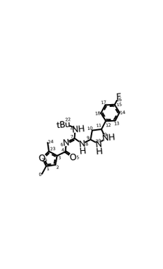 Cc1cc(C(=O)/N=C(\NC2CC(c3ccc(F)cc3)NN2)NC(C)(C)C)c(C)o1